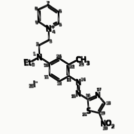 CCN(CC[n+]1ccccc1)c1ccc(N=Nc2ncc([N+](=O)[O-])s2)c(C)c1.[I-]